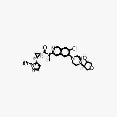 CC(C)n1nccc1[C@H]1C[C@@H]1C(=O)Nc1cc2cc(N3CCN([C@]4(C)COC[C@@H]4O)CC3)c(Cl)cc2cn1